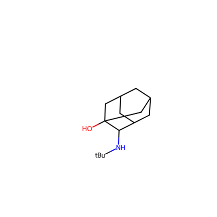 CC(C)(C)NC1C2CC3CC(C2)CC1(O)C3